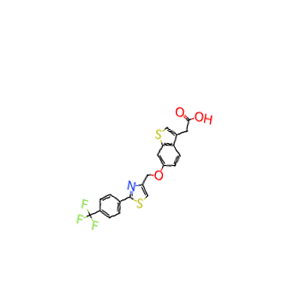 O=C(O)Cc1csc2cc(OCc3csc(-c4ccc(C(F)(F)F)cc4)n3)ccc12